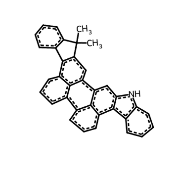 CC1(C)c2ccccc2-c2c1cc1c3cc4[nH]c5ccccc5c4c4cccc(c5cccc2c51)c34